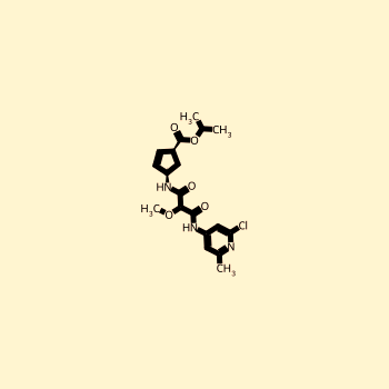 COC(C(=O)Nc1cc(C)nc(Cl)c1)C(=O)N[C@H]1C=C[C@@H](C(=O)OC(C)C)C1